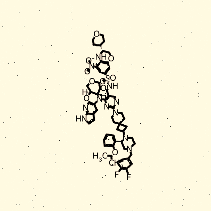 CC(C)Oc1ccccc1[C@@H]1CN(Cc2ccc(F)c(F)c2)CCN1C1CC2(CCN(c3ncc(C(=O)NS(=O)(=O)c4cc5c(c([N+](=O)[O-])c4)N[C@H](C4CCOCC4)CO5)c(N4c5cc6cc[nH]c6nc5O[C@H]5COCC[C@@H]54)n3)CC2)C1